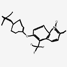 Cc1ccc2c(C(F)(F)F)c(OC3CCC(C(C)(C)C)CC3)ccc2[n+]1[O-]